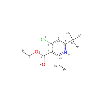 CCOC(=O)c1c(Cl)cc(C(C)(C)C)nc1CC